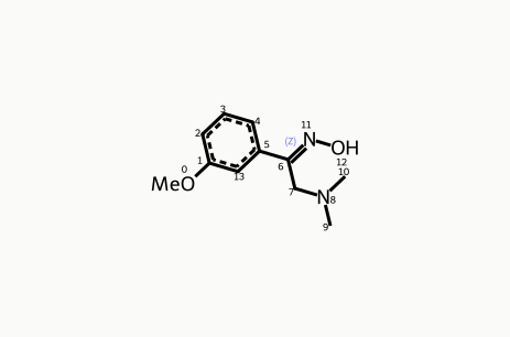 COc1cccc(/C(CN(C)C)=N/O)c1